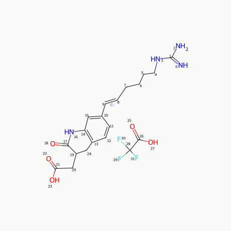 N=C(N)NCCCC/C=C/c1ccc2c(c1)NC(=O)C(CC(=O)O)C2.O=C(O)C(F)(F)F